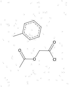 CC(=O)OCC(=O)Cl.Cc1ccccc1